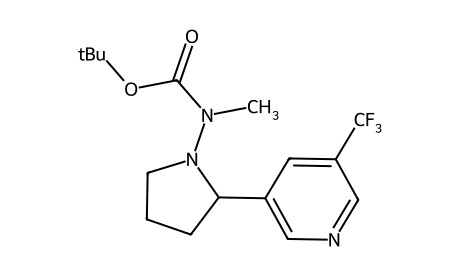 CN(C(=O)OC(C)(C)C)N1CCCC1c1cncc(C(F)(F)F)c1